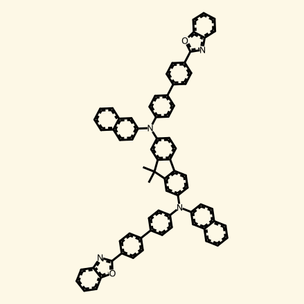 CC1(C)c2cc(N(c3ccc(-c4ccc(-c5nc6ccccc6o5)cc4)cc3)c3ccc4ccccc4c3)ccc2-c2ccc(N(c3ccc(-c4ccc(-c5nc6ccccc6o5)cc4)cc3)c3ccc4ccccc4c3)cc21